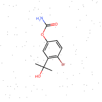 CC(C)(O)c1cc(OC(N)=O)ccc1Br